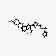 CN1CC[C@@H](Nc2cccc3c2cc(-c2noc(CNC(=O)c4cncs4)n2)n3CC(F)(F)F)[C@@H](F)C1